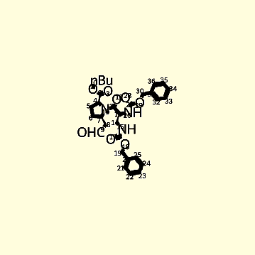 CCCCOC(=O)[C@@H]1CC[C@H](CC=O)N1C(=O)[C@H](CNC(=O)OCc1ccccc1)NC(=O)OCc1ccccc1